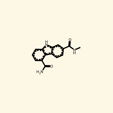 CNC(=O)c1ccc2c(c1)[nH]c1cccc(C(N)=O)c12